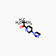 CC(C)(C)C(=O)c1ccc(-n2ccnc2)cn1